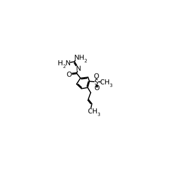 CC=CCc1ccc(C(=O)N=C(N)N)cc1S(C)(=O)=O